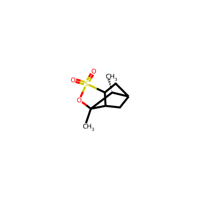 C[C@@H]1C2CC3C(C2)S(=O)(=O)OC31C